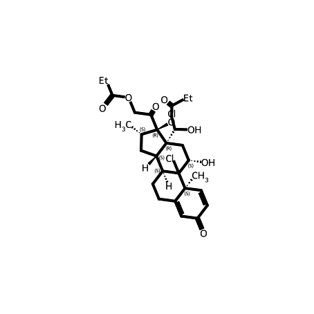 CCC(=O)OCC(=O)[C@@]1(OC(=O)CC)[C@@H](C)C[C@H]2[C@@H]3CCC4=CC(=O)C=C[C@]4(C)C3(Cl)[C@@H](O)C[C@@]21C(O)Cl